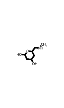 CNCC1CC(O)CC(O)O1